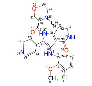 COc1c(Cl)cccc1Nc1c(-c2ccncc2OC[C@H]2COCCN2C)[nH]c2c1C(=O)NCC2